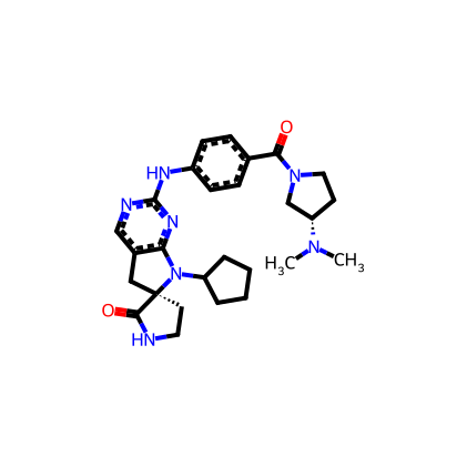 CN(C)[C@H]1CCN(C(=O)c2ccc(Nc3ncc4c(n3)N(C3CCCC3)[C@]3(CCNC3=O)C4)cc2)C1